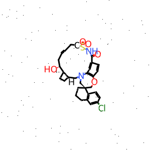 C[C@@]12CC[C@@H]1CN1C[C@@]3(CCCc4cc(Cl)ccc43)COc3ccc(cc31)C(=O)NS(=O)(=O)CC/C=C/C[C@H]2O